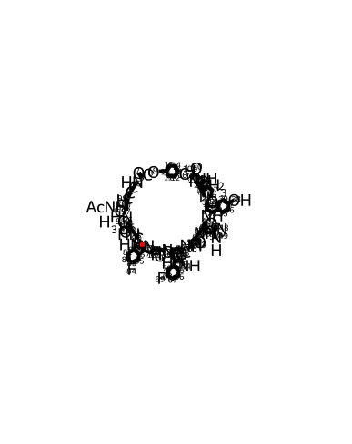 CC(=O)N[C@H]1CCCNC(=O)COc2ccc(cc2)C[C@@H](C(N)=O)NC(=O)[C@]2(C)CCCN2C(=O)[C@H](Cc2ccc(O)cc2)NC(=O)[C@@H](Cc2cnc[nH]2)NC(=O)[C@H](CC(=O)O)NC(=O)[C@H](Cc2c[nH]c3ccc(F)cc23)NC(=O)[C@H](Cc2c[nH]c3ccc(F)cc23)NC(=O)CNC(=O)[C@H](C)NC1=O